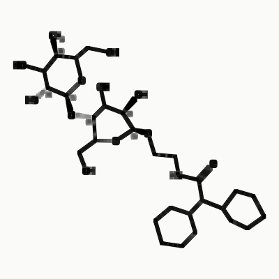 C[C@H]1C(CO)O[C@@H](O[C@H]2C(CO)O[C@H](OCCNC(=O)C(C3CCCCC3)C3CCCCC3)[C@H](O)C2O)[C@H](O)C1O